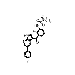 CN(C)S(=O)(=O)Nc1cccc(C(=O)c2c[nH]c3ncc(-c4ccc(F)cc4)cc23)c1F